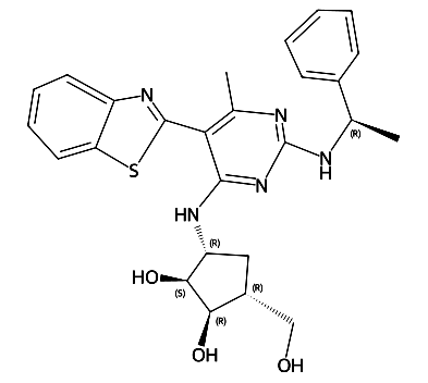 Cc1nc(N[C@H](C)c2ccccc2)nc(N[C@@H]2C[C@H](CO)[C@@H](O)[C@H]2O)c1-c1nc2ccccc2s1